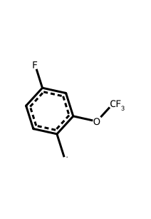 [CH2]c1ccc(F)cc1OC(F)(F)F